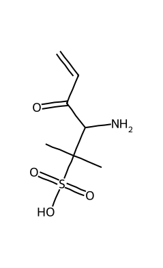 C=CC(=O)C(N)C(C)(C)S(=O)(=O)O